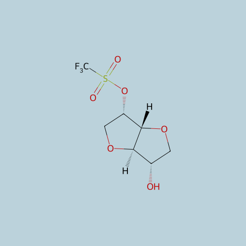 O=S(=O)(O[C@H]1CO[C@H]2[C@H]1OC[C@@H]2O)C(F)(F)F